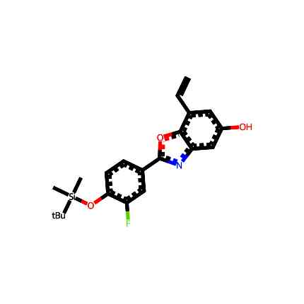 C=Cc1cc(O)cc2nc(-c3ccc(O[Si](C)(C)C(C)(C)C)c(F)c3)oc12